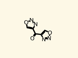 O=C(c1conn1)c1conn1